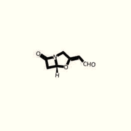 O=C/C=C1/CN2C(=O)C[C@H]2O1